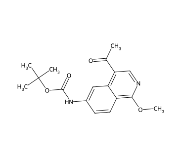 COc1ncc(C(C)=O)c2cc(NC(=O)OC(C)(C)C)ccc12